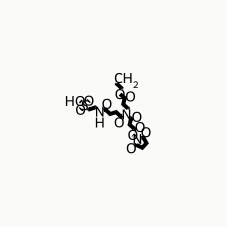 C=CCOC(=O)CCN(C(=O)CCC(=O)NCCS(=O)(=O)O)C(=O)CC(=O)ON1C(=O)CCC1=O